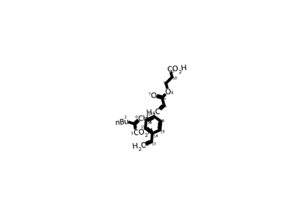 C=C(CCCC)C(=O)O.C=CC(=O)OCCC(=O)O.C=Cc1ccccc1